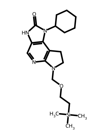 C[Si](C)(C)CCOCN1CCc2c1ncc1[nH]c(=O)n(C3CCCCC3)c21